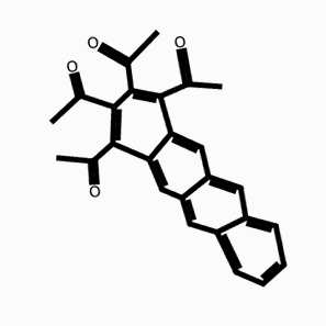 CC(=O)c1c(C(C)=O)c(C(C)=O)c2cc3cc4ccccc4cc3cc2c1C(C)=O